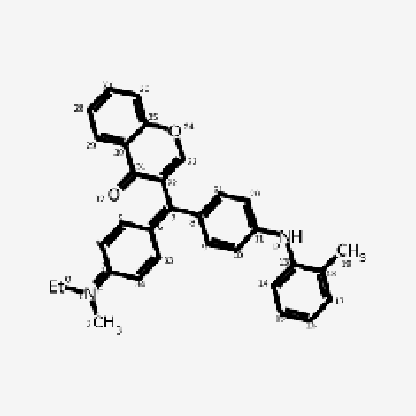 CC[N+](C)=C1C=CC(=C(c2ccc(Nc3ccccc3C)cc2)c2coc3ccccc3c2=O)C=C1